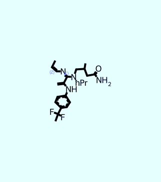 C=C(Nc1ccc(C(C)(F)F)cc1)/C(=N\C=C/C)N(CCC)CC(C)CC(N)=O